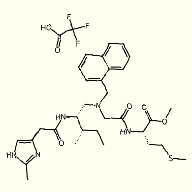 CC[C@H](C)[C@@H](CN(CC(=O)N[C@@H](CCSC)C(=O)OC)Cc1cccc2ccccc12)NC(=O)Cc1c[nH]c(C)n1.O=C(O)C(F)(F)F